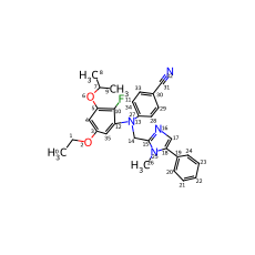 CCOc1cc(OC(C)C)c(F)c(N(Cc2ncc(-c3ccccc3)n2C)c2ccc(C#N)cc2)c1